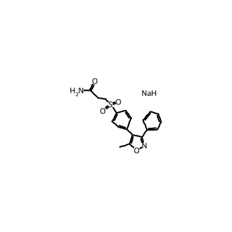 Cc1onc(-c2ccccc2)c1-c1ccc(S(=O)(=O)CCC(N)=O)cc1.[NaH]